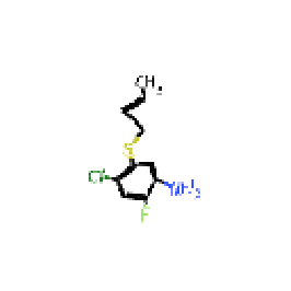 CC=CCSc1cc(N)c(F)cc1Cl